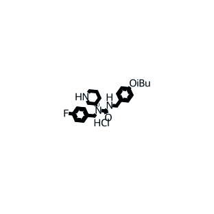 CC(C)COc1ccc(CNC(=O)N(Cc2ccc(F)cc2)[C@@H]2CCCNC2)cc1.Cl